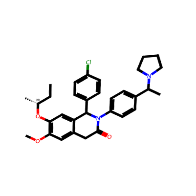 CC[C@@H](C)Oc1cc2c(cc1OC)CC(=O)N(c1ccc(C(C)N3CCCC3)cc1)C2c1ccc(Cl)cc1